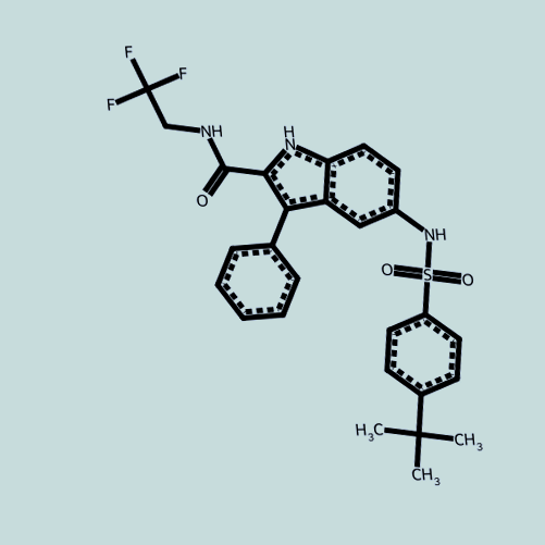 CC(C)(C)c1ccc(S(=O)(=O)Nc2ccc3[nH]c(C(=O)NCC(F)(F)F)c(-c4ccccc4)c3c2)cc1